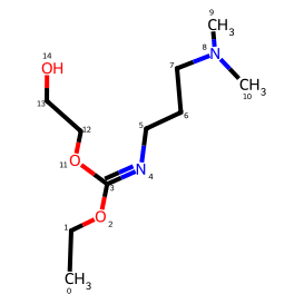 CCOC(=NCCCN(C)C)OCCO